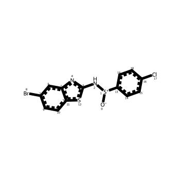 [O-][S+](Nc1nc2cc(Br)ccc2s1)c1ccc(Cl)cc1